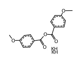 COc1ccc(C(=O)OC(=O)c2ccc(OC)cc2)cc1.[KH].[KH]